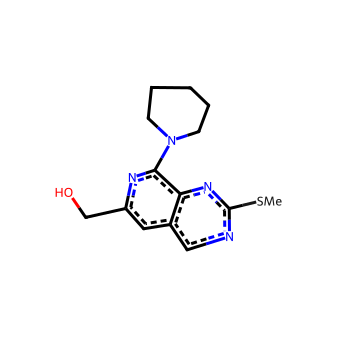 CSc1ncc2cc(CO)nc(N3CCCCC3)c2n1